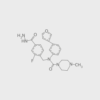 CN1CCN(C(=O)N(Cc2ccc(C(=O)NN)cc2F)c2cccc(-c3ccoc3)c2)CC1